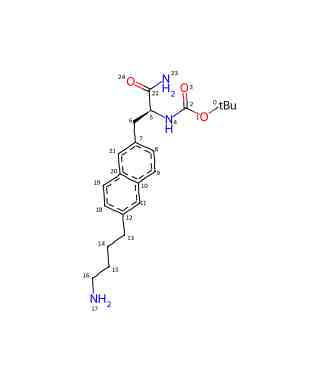 CC(C)(C)OC(=O)N[C@@H](Cc1ccc2cc(CCCCN)ccc2c1)C(N)=O